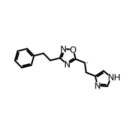 [CH](Cc1c[nH]cn1)c1nc(CCc2ccccc2)no1